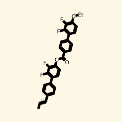 C/C=C/c1ccc(-c2ccc(OC(=O)c3ccc(-c4ccc(OCC)c(F)c4F)cc3)c(F)c2F)cc1